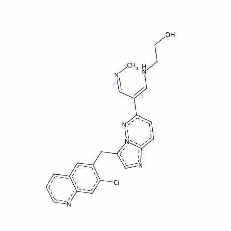 C/N=C\C(=C/NCCO)c1ccc2ncc(Cc3cc4cccnc4cc3Cl)n2n1